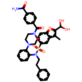 Cc1c(C(O)O)oc2ccc(S(=O)(=O)N(CCc3ccccc3)c3ccccc3N3CCN(C(=O)c4ccc(C(N)=O)cc4)CC3)cc12